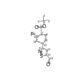 CC(C)(C)OC(=O)c1ccc(-c2cc(C=O)sn2)cc1F